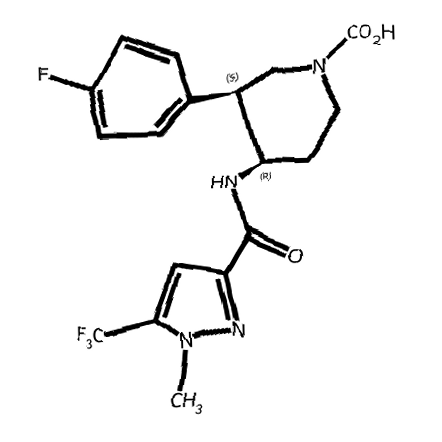 Cn1nc(C(=O)N[C@@H]2CCN(C(=O)O)C[C@@H]2c2ccc(F)cc2)cc1C(F)(F)F